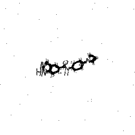 O=C(NC1CCC(N2CCC2)CC1)c1ccc2[nH]ncc2c1